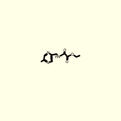 CCOC(=O)C(=O)NCc1cnc(C)cn1